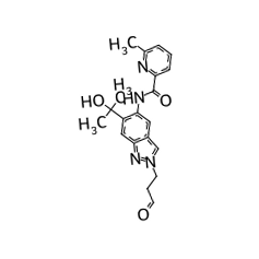 Cc1cccc(C(=O)Nc2cc3cn(CCC=O)nc3cc2C(C)(C)O)n1